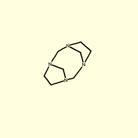 C1CN2CN1CN1CCN(C1)C2